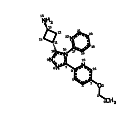 CCOc1ccc(-c2nnc([C@H]3C[C@H](N)C3)n2-c2ccccn2)nc1